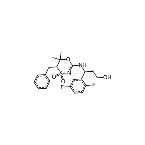 CC1(C)OC(N[C@@H](CCO)c2cc(F)ccc2F)=NS(=O)(=O)C1Cc1ccccc1